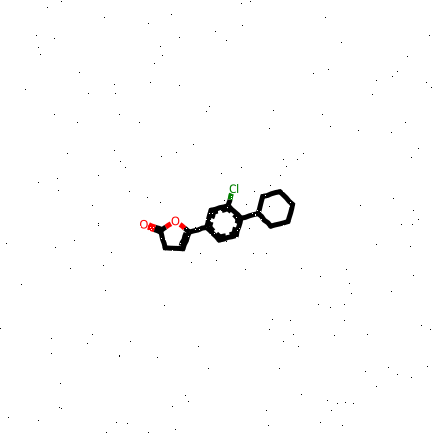 O=C1CC=C(c2ccc(C3CCCCC3)c(Cl)c2)O1